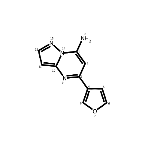 Nc1cc(-c2ccoc2)nc2ccnn12